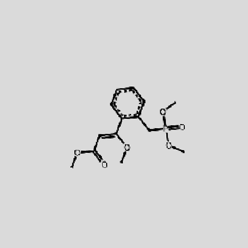 COC(=O)/C=C(\OC)c1ccccc1CP(=O)(OC)OC